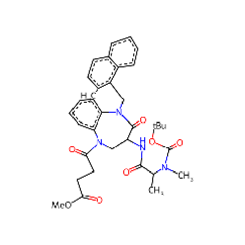 COC(=O)CCC(=O)N1CC(NC(=O)C(C)N(C)C(=O)OC(C)(C)C)C(=O)N(Cc2c(C)ccc3ccccc23)c2ccccc21